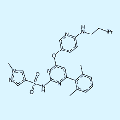 Cc1cccc(C)c1-c1cc(Oc2ccc(NCCC(C)C)nc2)nc(NS(=O)(=O)c2cnn(C)c2)n1